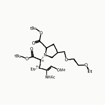 CCOCCOCC1CC(C(=O)OC(C)(C)C)N([C@@H](C(=O)OC(C)(C)C)[C@@H](CC)C(=COC)NC(C)=O)C1